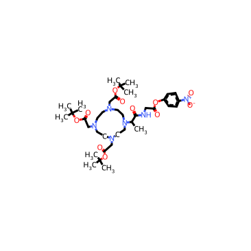 CC(C(=O)NCC(=O)Oc1ccc([N+](=O)[O-])cc1)N1CCN(CC(=O)OC(C)(C)C)CCN(CC(=O)OC(C)(C)C)CCN(CC(=O)OC(C)(C)C)CC1